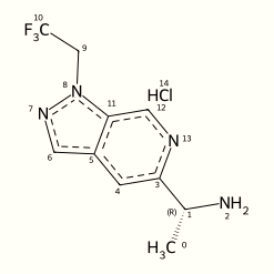 C[C@@H](N)c1cc2cnn(CC(F)(F)F)c2cn1.Cl